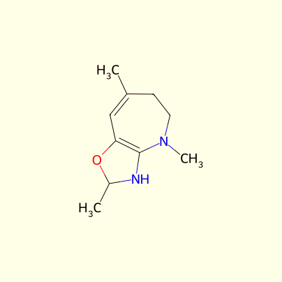 CC1=CC2=C(NC(C)O2)N(C)CC1